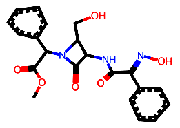 COC(=O)C(c1ccccc1)N1C(=O)C(NC(=O)C(=NO)c2ccccc2)C1CO